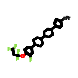 CCCc1ccc(C2=CCC(C3CCC(c4ccc(OC(F)(F)C=C(F)F)c(F)c4)CC3)CC2)cc1